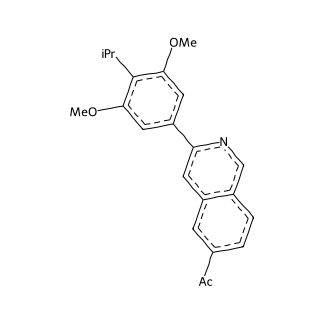 COc1cc(-c2cc3cc(C(C)=O)ccc3cn2)cc(OC)c1C(C)C